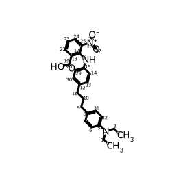 CCN(CC)c1ccc(CCCc2ccc(Nc3c(C(=O)O)cccc3[N+](=O)[O-])cc2)cc1